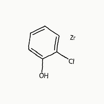 Oc1ccccc1Cl.[Zr]